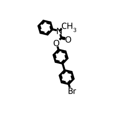 CN(C(=O)Oc1ccc(-c2ccc(Br)cc2)cc1)c1ccccc1